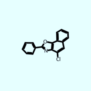 Clc1cc2ccccc2c2oc(-c3ccccc3)nc12